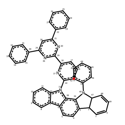 C1=CC2c3ccc4c5ccccc5n(-c5cccc(-c6nc(-c7ccccc7)cc(-c7ccccc7)n6)n5)c4c3N(c3ccccc3)C2C=C1